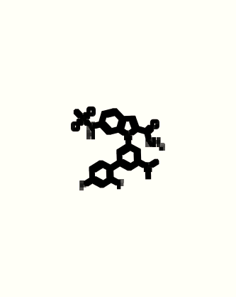 CN(C)c1cc(-c2ccc(F)cc2F)cc(-n2c(C(N)=O)cc3ccc(NS(C)(=O)=O)cc32)c1